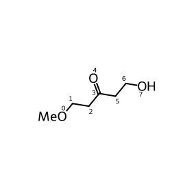 COCCC(=O)CCO